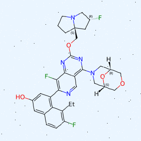 CCc1c(F)ccc2cc(O)cc(-c3ncc4c(N5C[C@H]6COC[C@@H](C5)O6)nc(OC[C@@]56CCCN5C[C@H](F)C6)nc4c3F)c12